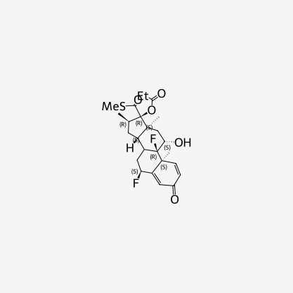 CCC(=O)O[C@]1(C(=O)SC)[C@H](C)C[C@H]2C3C[C@H](F)C4=CC(=O)C=C[C@]4(C)[C@@]3(F)[C@@H](O)C[C@@]21C